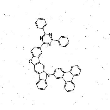 c1ccc(-c2nc(-c3ccccc3)nc(-c3ccc4oc5cc6c7ccccc7n(-c7ccc8c9ccccc9c9ccccc9c8c7)c6cc5c4c3)n2)cc1